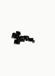 Cl.Cl.NC1CCN(CC=Cc2c(O)ccc3[nH]c(=O)c4sccc4c23)CC1